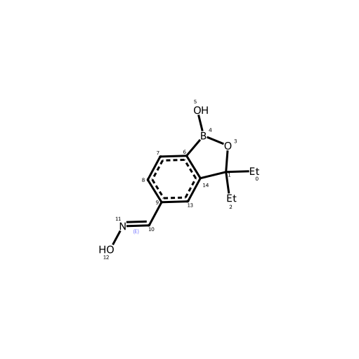 CCC1(CC)OB(O)c2ccc(/C=N/O)cc21